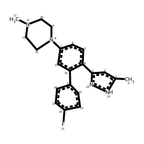 Cc1cc(-c2ccc(N3CCN(C)CC3)cc2-c2ccc(F)cc2)n[nH]1